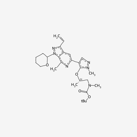 C=Cc1nn(C2CCCCO2)c2c(C)nc(-c3cnn(C)c3O[C@@H](C)CN(C)C(=O)OC(C)(C)C)cc12